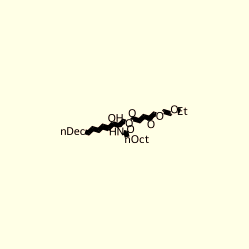 CCCCCCCCCCCCC/C=C/C(O)C(COC(=O)CCC(=O)COCCOCC)NC(=O)CCCCCCCC